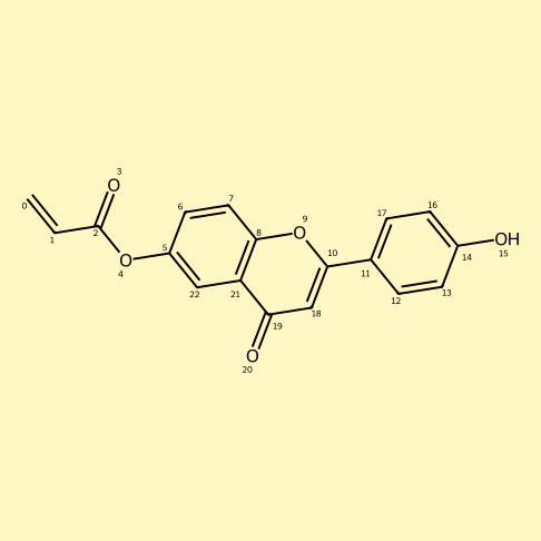 C=CC(=O)Oc1ccc2oc(-c3ccc(O)cc3)cc(=O)c2c1